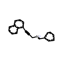 C(#Cc1cccc2ccccc12)C/N=C/c1ccccc1